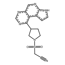 N#CCS(=O)(=O)N1CCC(c2ncnc3cnc4[nH]ccc4c23)C1